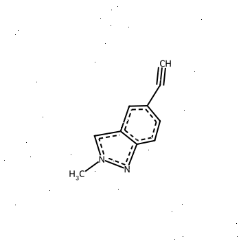 C#Cc1ccc2nn(C)cc2c1